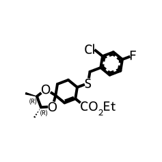 CCOC(=O)C1=CC2(CCC1SCc1ccc(F)cc1Cl)O[C@H](C)[C@@H](C)O2